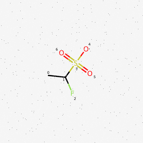 CC(F)S([O])(=O)=O